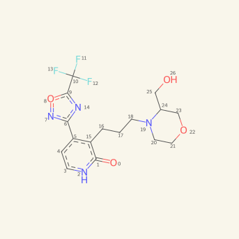 O=c1[nH]ccc(-c2noc(C(F)(F)F)n2)c1CCCN1CCOCC1CO